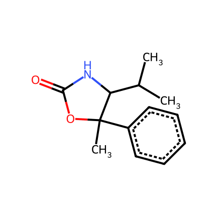 CC(C)C1NC(=O)OC1(C)c1ccccc1